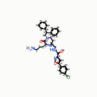 NCCC[C@@H]1N[C@H](CNC(=O)c2cc(-c3ccc(Cl)cc3)on2)CCN(CC(c2ccccc2)c2ccccc2)C1=O